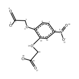 O=C(Cl)COc1ccc([N+](=O)[O-])cc1OCC(=O)Cl